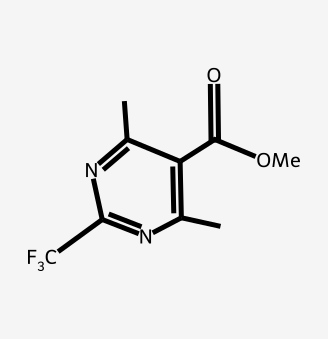 COC(=O)c1c(C)nc(C(F)(F)F)nc1C